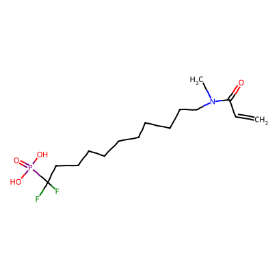 C=CC(=O)N(C)CCCCCCCCCCC(F)(F)P(=O)(O)O